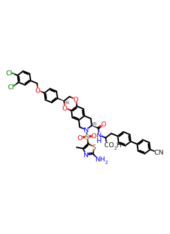 Cc1nc(N)sc1S(=O)(=O)N1Cc2cc3c(cc2C[C@H]1C(=O)NC(Cc1ccc(-c2ccc(C#N)cc2)cc1)C(=O)O)OC[C@H](c1ccc(OCc2ccc(Cl)c(Cl)c2)cc1)O3